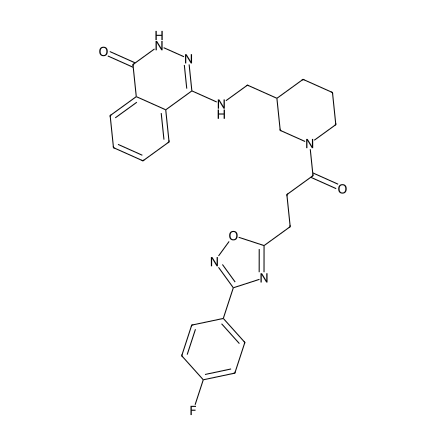 O=C(CCc1nc(-c2ccc(F)cc2)no1)N1CCCC(CNc2n[nH]c(=O)c3ccccc23)C1